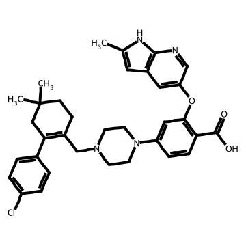 Cc1cc2cc(Oc3cc(N4CCN(CC5=C(c6ccc(Cl)cc6)CC(C)(C)CC5)CC4)ccc3C(=O)O)cnc2[nH]1